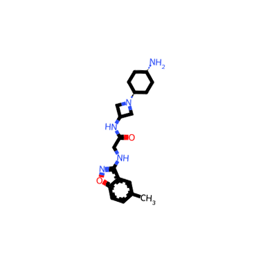 Cc1ccc2onc(NCC(=O)NC3CN([C@H]4CC[C@@H](N)CC4)C3)c2c1